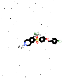 COc1cc2c(cc1S(=O)(=O)c1ccc(OCc3ccc(Cl)cc3)cc1)CCN(C)CC2.Cl